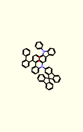 c1ccc(-c2ccccc2-c2ccccc2-c2ccccc2N(c2ccc3c(c2)C2(c4ccccc4-c4ccccc42)c2ccccc2-3)c2ccc3c(c2)c2ccccc2n3-c2ccccc2)cc1